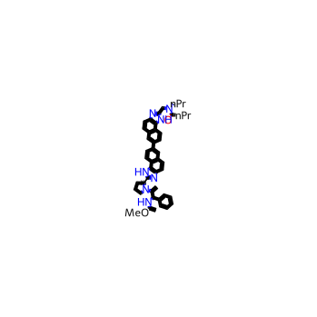 C=C(NC(C(=C)N1CCC[C@H]1c1nc2ccc3cc(-c4ccc5c(ccc6nc(CN(CCC)C(=O)CCC)[nH]c65)c4)ccc3c2[nH]1)c1ccccc1)OC